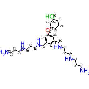 Cl.NCCCNCCCNCc1cc(CNCCCNCCCN)cc(OC2CCCCC2)c1